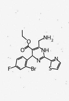 CCOC(=O)C1=C(CN)NC(c2nccs2)=NC1c1ccc(F)cc1Br